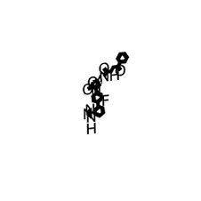 O=C(CCC(=O)c1ccccc1)NC[C@H]1CN(c2ccc(-c3cccc4[nH]nnc34)c(F)c2)C(=O)O1